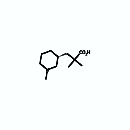 CN1CCC[C@H](CC(C)(C)C(=O)O)C1